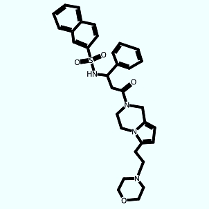 O=C(CC(NS(=O)(=O)c1ccc2ccccc2c1)c1ccccc1)N1CCn2c(CCN3CCOCC3)ccc2C1